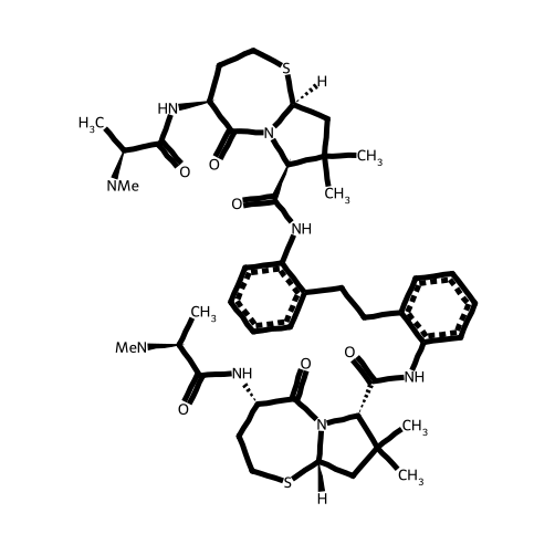 CN[C@@H](C)C(=O)N[C@H]1CCS[C@H]2CC(C)(C)[C@@H](C(=O)Nc3ccccc3CCc3ccccc3NC(=O)[C@H]3N4C(=O)[C@@H](NC(=O)[C@H](C)NC)CCS[C@H]4CC3(C)C)N2C1=O